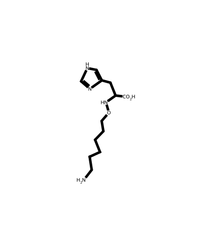 NCCCCCCONC(Cc1c[nH]cn1)C(=O)O